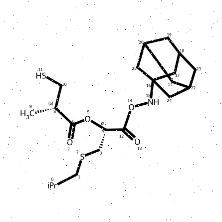 CC(C)CSC[C@H](OC(=O)[C@H](C)CS)C(=O)ONC12CC3CC(CC(C3)C1)C2